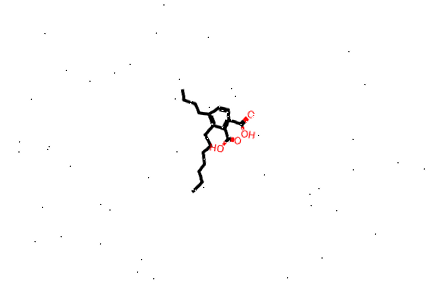 CCCCCCCc1c(CCCC)ccc(C(=O)O)c1C(=O)O